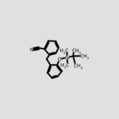 CC(C)(C)[Si](C)(C)Oc1ccccc1Cc1ccccc1C#N